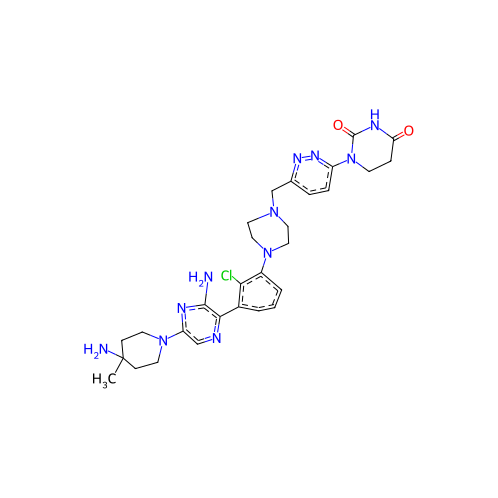 CC1(N)CCN(c2cnc(-c3cccc(N4CCN(Cc5ccc(N6CCC(=O)NC6=O)nn5)CC4)c3Cl)c(N)n2)CC1